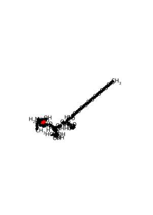 CCCCc1nc2c(N)nc3cc(C(=O)O)ccc3c2n1Cc1ccc(CNC(=O)OCc2ccc(O[C@H]3O[C@H](CO)[C@@H](O)[C@H](O)[C@@H]3O)c(NC(=O)CCNC(=O)[C@H](CCCCNC(=O)CCOCCOCCOCCOCCOCCOCCOCCOCCOCCOCCOCCOC)NC(=O)CCN3C(=O)C=CC3=O)c2)cc1